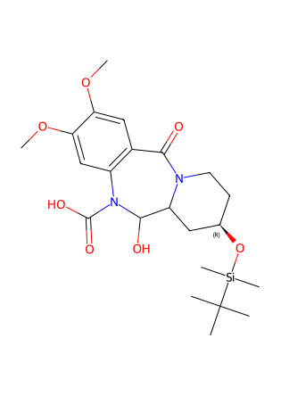 COc1cc2c(cc1OC)N(C(=O)O)C(O)C1C[C@H](O[Si](C)(C)C(C)(C)C)CCN1C2=O